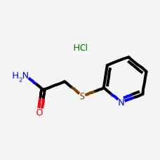 Cl.NC(=O)CSc1ccccn1